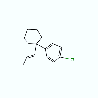 C/C=C/C1(c2ccc(Cl)cc2)CCCCC1